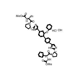 COC(=O)N[C@H](C(=O)N1CCC[C@H]1c1ncc(-c2ccc(-c3ccc(-c4cnc([C@@H]5CCCN5C(=O)[C@H](NC(=O)OC)c5ccccc5)[nH]4)cc3)c(Oc3ccccc3)c2)[nH]1)C(C)C.Cl.Cl